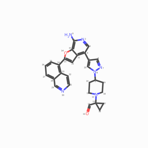 Nc1ncc(-c2cnn(C3CCN(C4(C=O)CC4)CC3)c2)c2cc(-c3cccc4cnccc34)oc12